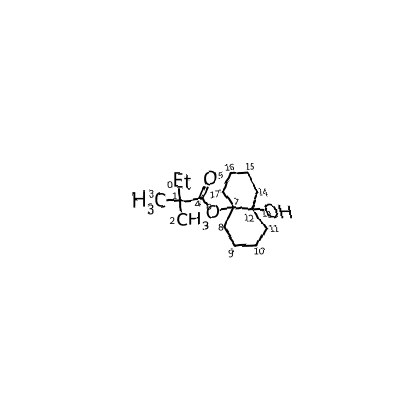 CCC(C)(C)C(=O)OC12CCCCC1(O)CCCC2